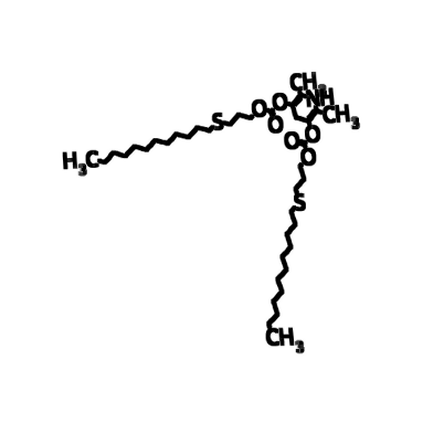 CCCCCCCCCCCCSCCCOC(=O)OC1=C(C)NC(C)=C(OC(=O)OCCCSCCCCCCCCCCCC)C1